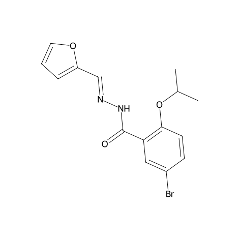 CC(C)Oc1ccc(Br)cc1C(=O)N/N=C/c1ccco1